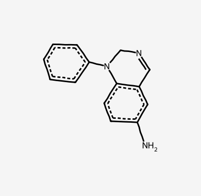 Nc1ccc2c(c1)C=NCN2c1ccccc1